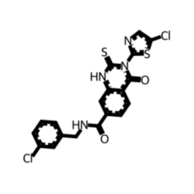 O=C(NCc1cccc(Cl)c1)c1ccc2c(=O)n(-c3ncc(Cl)s3)c(=S)[nH]c2c1